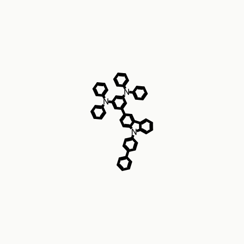 c1ccc(-c2ccc(-n3c4ccccc4c4cc(-c5cc(N(c6ccccc6)c6ccccc6)cc(N(c6ccccc6)c6ccccc6)c5)ccc43)cc2)cc1